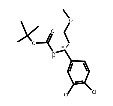 COCC[C@@H](NC(=O)OC(C)(C)C)c1ccc(Cl)c(Cl)c1